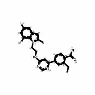 CCc1cc(-c2cc(NCCn3c(C)cc4cc(F)cc(F)c43)ncn2)ccc1C(=O)O